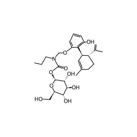 C=C(C)[C@@H]1CCC(C)=C[C@H]1c1c(O)cccc1OCN(CCC)C(=O)O[C@@H]1O[C@H](CO)[C@@H](O)[C@H](O)[C@H]1O